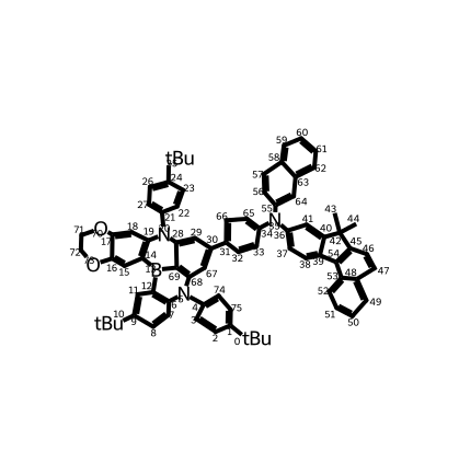 CC(C)(C)c1ccc(N2c3ccc(C(C)(C)C)cc3B3c4cc5c(cc4N(c4ccc(C(C)(C)C)cc4)c4cc(-c6ccc(N(c7ccc8c(c7)C(C)(C)c7ccc9ccccc9c7-8)c7ccc8ccccc8c7)cc6)cc2c43)OCCO5)cc1